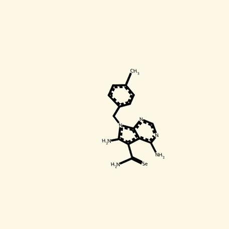 Cc1ccc(Cn2c(N)c(C(N)=[Se])c3c(N)ncnc32)cc1